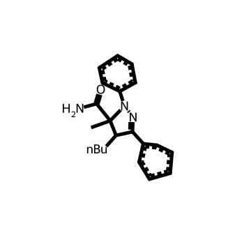 CCCCC1C(c2ccccc2)=NN(c2ccccc2)C1(C)C(N)=O